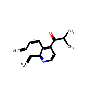 C=C/C=C\c1c(C(=O)C(C)C)ccnc1C=C